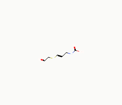 O=CCSC=CCNC(=O)O